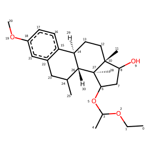 CCOC(C)OC1CC(O)[C@@]2(C)CC[C@@H]3c4ccc(OC)cc4CC(C)[C@H]3[C@]12C